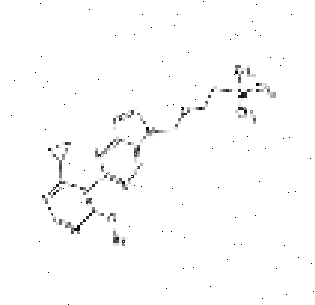 CC(C)Oc1ncnc(C2CC2)c1-c1ncc2c(ccn2COCC[Si](C)(C)C)n1